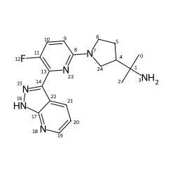 CC(C)(N)C1CCN(c2ccc(F)c(-c3n[nH]c4ncccc34)n2)C1